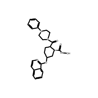 O=C(NO)[C@H]1CC(Oc2nccc3ccccc23)CCC1C(=O)N1CCN(c2ccccc2)CC1